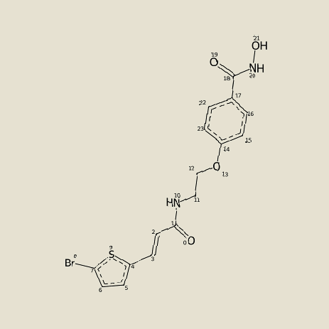 O=C(/C=C/c1ccc(Br)s1)NCCOc1ccc(C(=O)NO)cc1